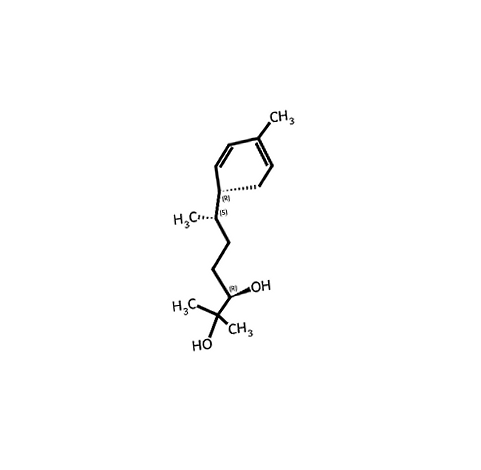 CC1=CC[C@H]([C@@H](C)CC[C@@H](O)C(C)(C)O)C=C1